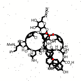 CN[C@@H](CC(C)C)C(=O)NC1C(=O)NC(CC(N)=O)C(=O)NC2C(=O)NC3C(=O)N[C@H](C(=O)NC(C(=O)O)c4cc(O)cc(O)c4-c4cc3ccc4O)[C@H](O)c3ccc(c(Cl)c3)Oc3cc2cc(c3OC2OC(CN=[N+]=[N-])C(O)C(O)C2OC2CC(I)(NCc3ccc(-c4ccc(Cl)cc4)cc3)C(O)C(C)O2)Oc2ccc(cc2Cl)C1O